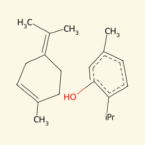 CC1=CCC(=C(C)C)CC1.Cc1ccc(C(C)C)c(O)c1